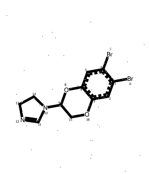 Brc1cc2c(cc1Br)OC(N1C=NCC1)CO2